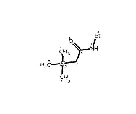 CCNC(=O)C[Si](C)(C)C